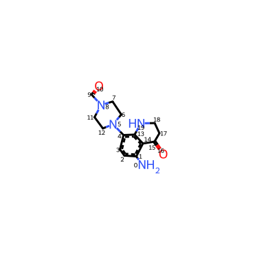 Nc1ccc(N2CCN(C=O)CC2)c2c1C(=O)CCN2